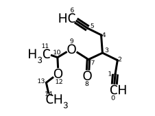 C#CCC(CC#C)C(=O)OC(C)OCC